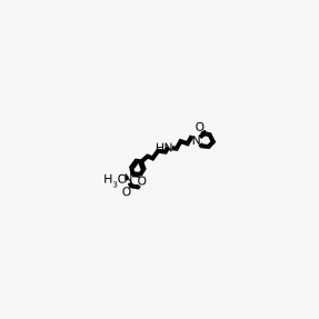 CN1C(=O)COc2cc(CCCCNCCCCN3CCCCC3=O)ccc21